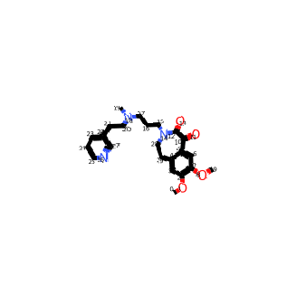 COc1cc2c(cc1OC)C(=O)C(=O)N(CCCN(C)CCc1cccnc1)CC2